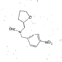 O=CN(Cc1ccc([N+](=O)[O-])cc1)CC1CCCO1